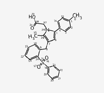 Cc1ccc(-c2cc(Cc3ccccc3S(=O)(=O)c3ccccc3)c(C)n2CC(=O)O)cc1